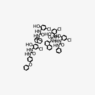 O=C(Nc1cc(Cl)ccc1O)NC12CC3CC(CC(C3)C1)C2.O=C(Nc1cc(Cl)ccc1O)Nc1cccc2ccccc12.O=C(Nc1ccc(Oc2ccccc2)cc1)Nc1cc(Cl)ccc1O.O=C(Nc1ccccc1)Nc1cc(Cl)ccc1O